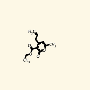 C=CCc1cc(C)oc(=O)c1C(=O)OCC